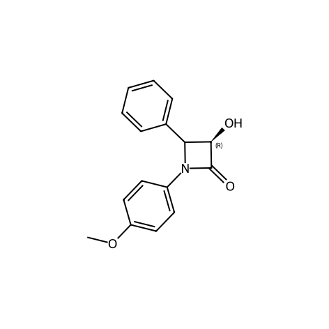 COc1ccc(N2C(=O)[C@H](O)C2c2ccccc2)cc1